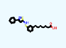 O=C(O)CCCCCCc1cccc(SNc2cc(-c3ccccc3)ns2)c1